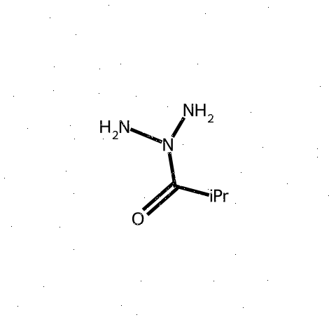 CC(C)C(=O)N(N)N